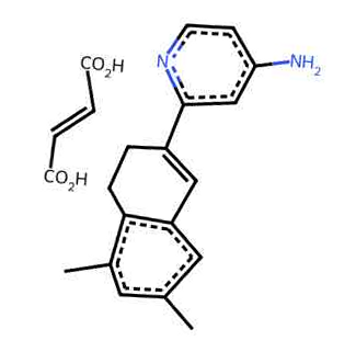 Cc1cc(C)c2c(c1)C=C(c1cc(N)ccn1)CC2.O=C(O)C=CC(=O)O